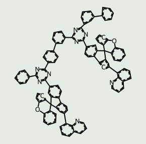 c1ccc(-c2cccc(-c3nc(-c4cccc(-c5ccc(-c6nc(-c7ccccc7)nc(-c7ccc8c(c7)C7(c9ccccc9Oc9ccccc97)c7cc(-c9cccc%10cccnc9%10)ccc7-8)n6)cc5)c4)nc(-c4ccc5c(c4)C4(c6ccccc6Oc6ccccc64)c4cc(-c6cccc7cccnc67)ccc4-5)n3)c2)cc1